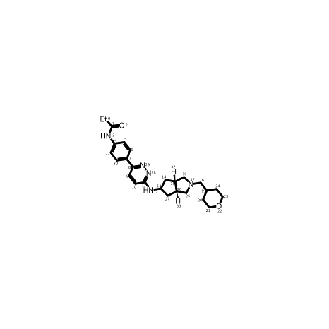 CCC(=O)Nc1ccc(-c2ccc(NC3C[C@@H]4CN(CC5CCOCC5)C[C@@H]4C3)nn2)cc1